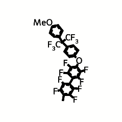 COc1ccc(C(c2ccc(Oc3c(F)c(F)c(-c4c(F)c(F)c(C)c(F)c4F)c(F)c3F)cc2)(C(F)(F)F)C(F)(F)F)cc1